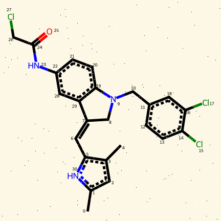 Cc1cc(C)c(C=C2CN(Cc3ccc(Cl)c(Cl)c3)c3ccc(NC(=O)CCl)cc32)[nH]1